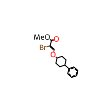 COC(=O)C(Br)=COC1CCC(c2ccccc2)CC1